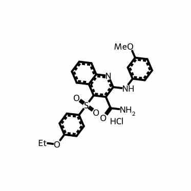 CCOc1ccc(S(=O)(=O)c2c(C(N)=O)c(Nc3cccc(OC)c3)nc3ccccc23)cc1.Cl